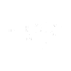 OCCNC1Nc2ccccc2C12COc1cc3c(cc12)OCCO3